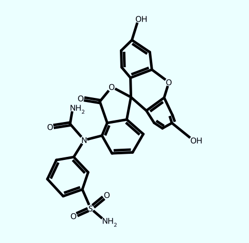 NC(=O)N(c1cccc(S(N)(=O)=O)c1)c1cccc2c1C(=O)OC21c2ccc(O)cc2Oc2cc(O)ccc21